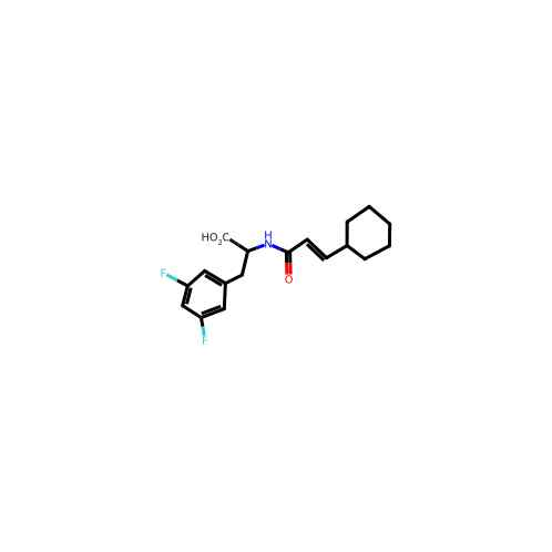 O=C(C=CC1CCCCC1)NC(Cc1cc(F)cc(F)c1)C(=O)O